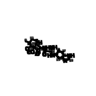 CC1=C(OC(=O)O)N2C(=O)C(NC(=O)[C@H](N)Nc3ccc4[nH]cnc4c3)[C@@H]2SC1